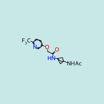 CC(=O)NC12CC(NC(=O)COc3ccc(C(F)(F)F)nc3)(C1)C2